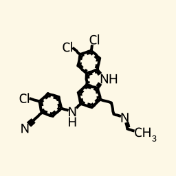 C/C=N/CCc1cc(Nc2ccc(Cl)c(C#N)c2)cc2c1[nH]c1cc(Cl)c(Cl)cc12